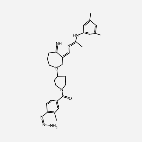 C/C(=N\C=C1\CN(C2CCN(C(=O)c3ccc(/N=N\N)c(C)c3)CC2)CCCC1=N)Nc1cc(C)cc(C)c1